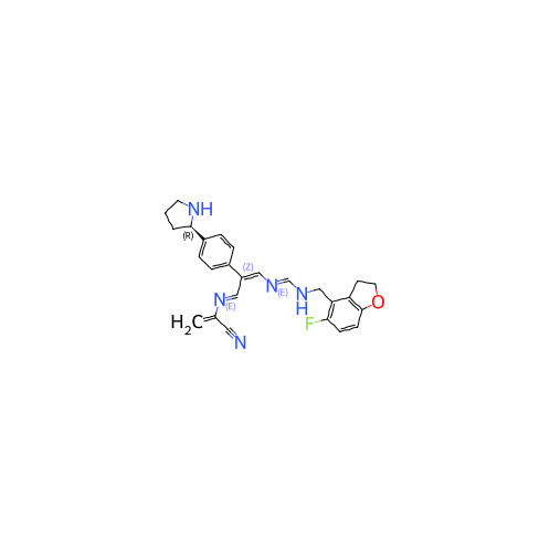 C=C(C#N)/N=C/C(=C\N=C\NCc1c(F)ccc2c1CCO2)c1ccc([C@H]2CCCN2)cc1